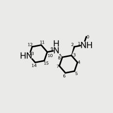 CNC[C@H]1CCCC[C@@H]1NC1CCNCC1